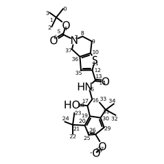 CC(C)(C)OC(=O)N1CCc2sc(C(=O)NCC(O)c3c(C(C)(C)C)[c]c(O[O])cc3C(C)(C)C)cc2C1